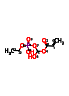 C=CC(=O)OC(O)OP(=O)(O)OCC